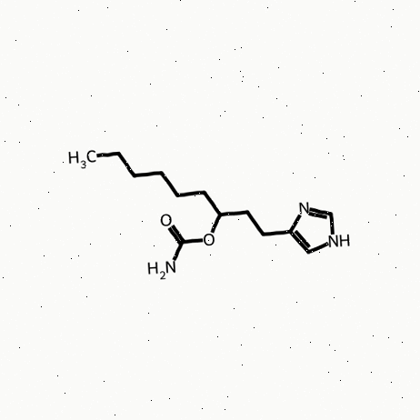 CCCCCCC(CCc1c[nH]cn1)OC(N)=O